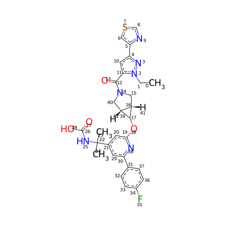 CCn1nc(-c2cscn2)cc1C(=O)N1C[C@@H]2C(Oc3cc(C(C)(C)NC(=O)O)cc(-c4ccc(F)cc4)n3)[C@@H]2C1